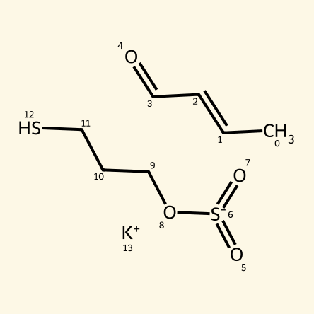 CC=CC=O.O=[S-](=O)OCCCS.[K+]